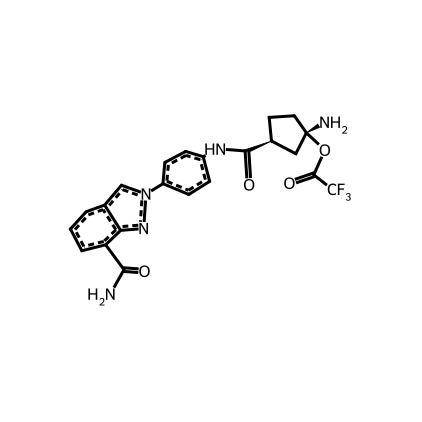 NC(=O)c1cccc2cn(-c3ccc(NC(=O)[C@H]4CC[C@](N)(OC(=O)C(F)(F)F)C4)cc3)nc12